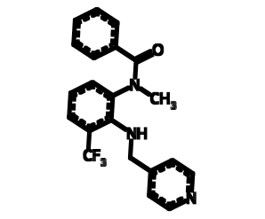 CN(C(=O)c1ccccc1)c1cccc(C(F)(F)F)c1NCc1ccncc1